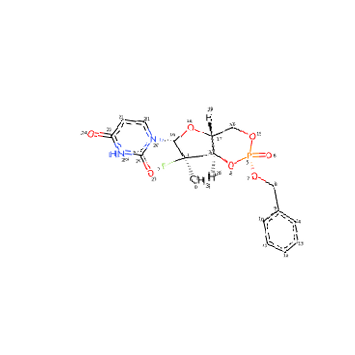 C[C@@]1(F)[C@@H]2O[P@@](=O)(OCc3ccccc3)OC[C@H]2O[C@H]1n1ccc(=O)[nH]c1=O